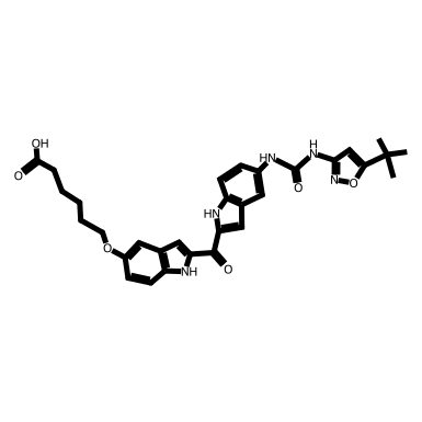 CC(C)(C)c1cc(NC(=O)Nc2ccc3[nH]c(C(=O)c4cc5cc(OCCCCCC(=O)O)ccc5[nH]4)cc3c2)no1